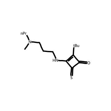 CCCN(C)CCCNc1c(C(C)(C)C)c(=O)c1=S